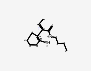 C=C(NCCCC)/C(=C\C)C1=C(S)CCCC1